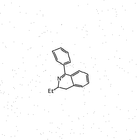 CCC1Cc2ccccc2C(c2ccccc2)=N1